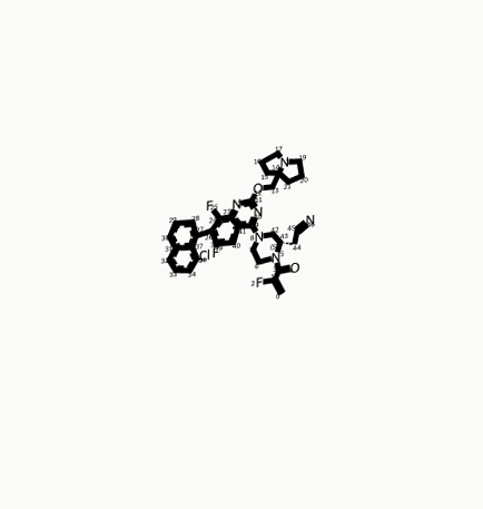 C=C(F)C(=O)N1CCN(c2nc(OCC34CCCN3CCC4)nc3c(F)c(-c4cccc5cccc(Cl)c45)c(F)cc23)C[C@@H]1CC#N